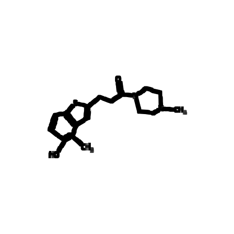 Cc1c(O)ccc2sc(CCC(=O)N3CCN(C)CC3)cc12